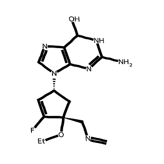 C=NC[C@]1(OCC)C[C@@H](n2cnc3c2N=C(N)NC3O)C=C1F